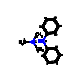 CN(C)C.c1ccc(Nc2ccccc2)cc1